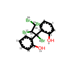 Oc1ccccc1C(Br)(c1ccccc1O)C(Br)C(Br)Br